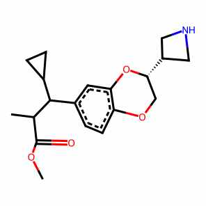 COC(=O)C(C)C(c1ccc2c(c1)O[C@H](C1CNC1)CO2)C1CC1